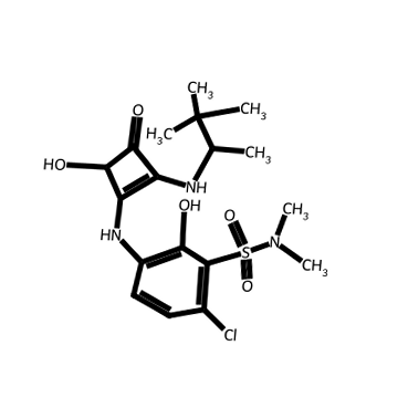 CC(NC1=C(Nc2ccc(Cl)c(S(=O)(=O)N(C)C)c2O)C(O)C1=O)C(C)(C)C